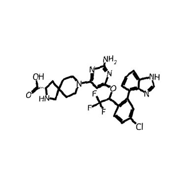 Nc1nc(OC(c2ccc(Cl)cc2-c2cccc3[nH]cnc23)C(F)(F)F)cc(N2CCC3(CC2)CN[C@H](C(=O)O)C3)n1